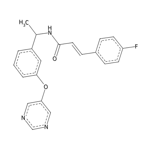 CC(NC(=O)C=Cc1ccc(F)cc1)c1cccc(Oc2cncnc2)c1